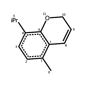 Cc1ccc(C(C)C)c2c1C=CCO2